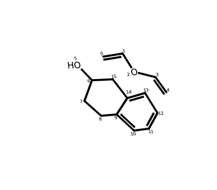 C=COC=C.OC1CCc2ccccc2C1